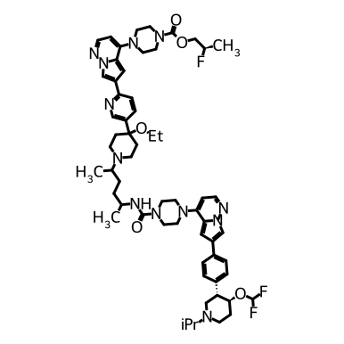 CCOC1(c2ccc(-c3cc4c(N5CCN(C(=O)OC[C@@H](C)F)CC5)ccnn4c3)nc2)CCN(C(C)CCC(C)NC(=O)N2CCN(c3ccnn4cc(-c5ccc([C@H]6CN(C(C)C)CC[C@@H]6OC(F)F)cc5)cc34)CC2)CC1